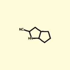 N#CC1CC2CCCC2N1